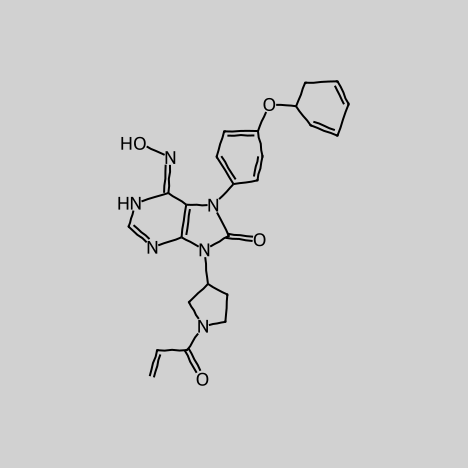 C=CC(=O)N1CCC(n2c(=O)n(-c3ccc(OC4C=CC=CC4)cc3)c3/c(=N/O)[nH]cnc32)C1